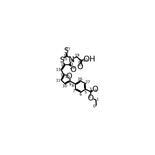 CCOC(=O)c1ccc(-c2ccc(C=C3SC(=S)N(CC(=O)O)C3=O)o2)cc1